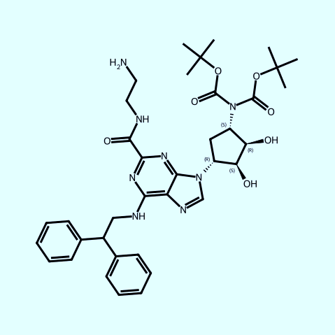 CC(C)(C)OC(=O)N(C(=O)OC(C)(C)C)[C@H]1C[C@@H](n2cnc3c(NCC(c4ccccc4)c4ccccc4)nc(C(=O)NCCN)nc32)[C@H](O)[C@@H]1O